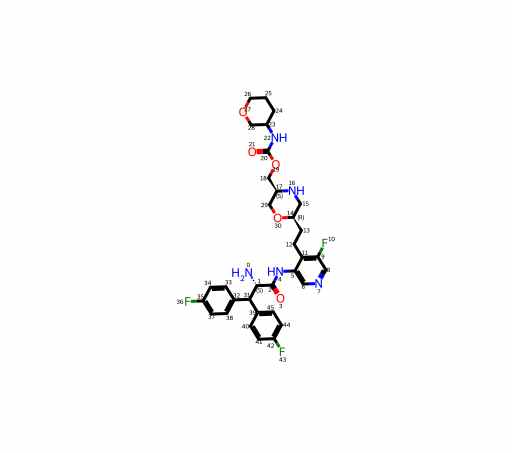 N[C@H](C(=O)Nc1cncc(F)c1CC[C@@H]1CN[C@H](COC(=O)NC2CCCOC2)CO1)C(c1ccc(F)cc1)c1ccc(F)cc1